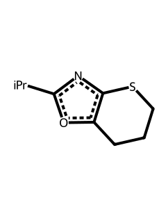 CC(C)c1nc2c(o1)CCCS2